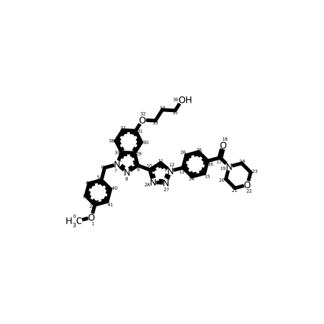 COc1ccc(Cn2nc(-c3cn(-c4ccc(C(=O)N5CCOCC5)cc4)nn3)c3cc(OCCCO)ccc32)cc1